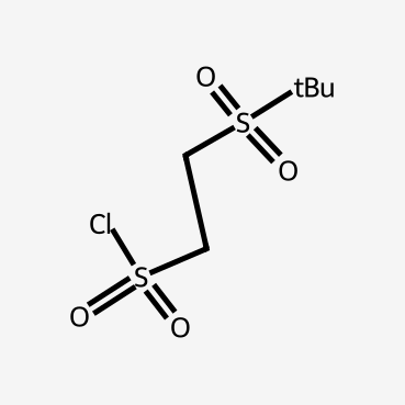 CC(C)(C)S(=O)(=O)CCS(=O)(=O)Cl